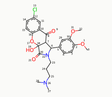 COc1ccc(C2C3C(=O)c4cc(Cl)ccc4OC3(O)C(=O)N2CCCN(C)C)cc1OC